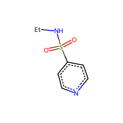 CCNS(=O)(=O)c1ccncc1